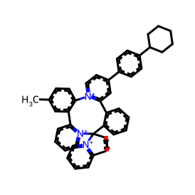 Cc1ccc2c(c1)-c1cccc[n+]1C1(c3ccccc3-c3cc(-c4ccc(C5CCCCC5)cc4)cc[n+]3-2)c2ccccc2-c2cccc[n+]21